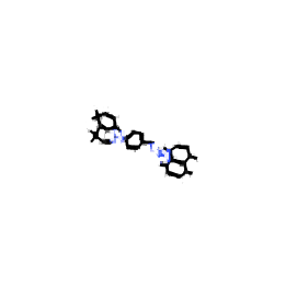 CCC1=C2C(C)(C)C=CN(c3ccc(C=NN4C5(C)C=CC(C)C6=C5C4(C)C=CC6C)cc3)C1(C)C=CC2(C)C